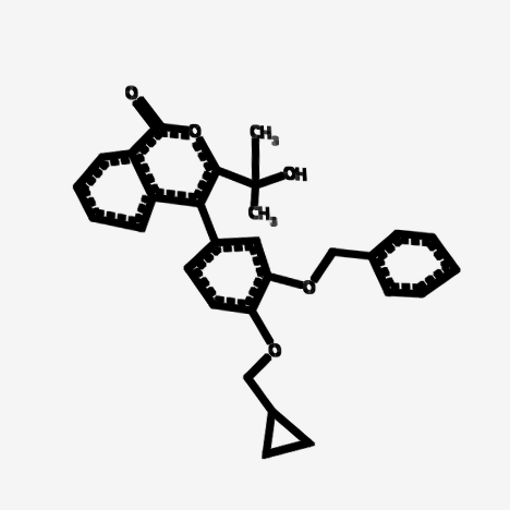 CC(C)(O)c1oc(=O)c2ccccc2c1-c1ccc(OCC2CC2)c(OCc2ccccc2)c1